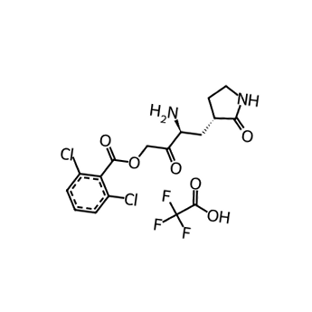 N[C@@H](C[C@@H]1CCNC1=O)C(=O)COC(=O)c1c(Cl)cccc1Cl.O=C(O)C(F)(F)F